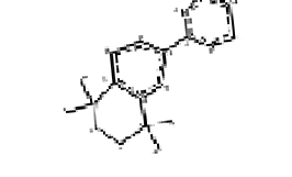 CC1(C)CCC(C)(C)c2cc(-c3ccccn3)ccc21